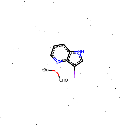 CC(C)(C)OC=O.Ic1c[nH]c2cccnc12